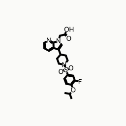 CC(C)Oc1ccc(S(=O)(=O)N2CCC(c3cn(CC(=O)O)c4ncccc34)CC2)cc1F